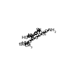 C[C@H](NC(=O)COCCOCCOCCOCCOCCOCCN)C(C)(C)C.Cc1ncsc1-c1ccc(CNC(=O)C2C[C@@H](O)CN2)cc1